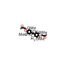 COc1cc(C(C)(C)c2cc(OC)c(OCC3CO3)c(OC)c2)cc(OC)c1OCC1CO1